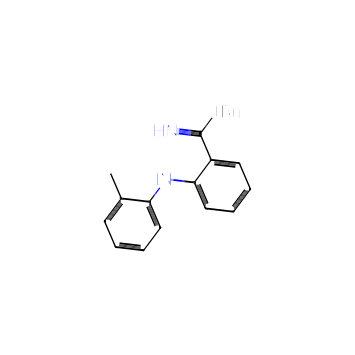 Cc1ccccc1Nc1ccccc1C(=N)C(C)(C)C